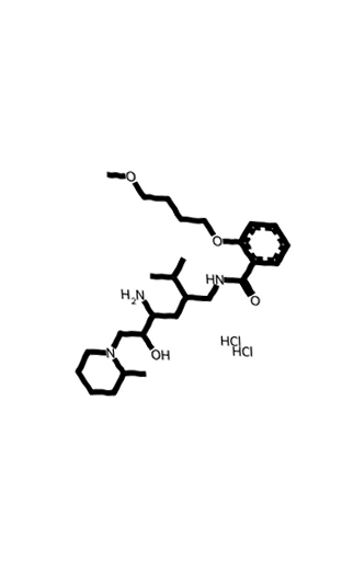 COCCCCOc1ccccc1C(=O)NCC(CC(N)C(O)CN1CCCCC1C)C(C)C.Cl.Cl